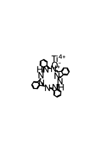 [O-][n+]1c2nc(nc3[nH]c(nc4nc(nc5[nH]c1c1ccccc51)-c1ccccc1-4)c1ccccc31)-c1ccccc1-2.[Ti+4]